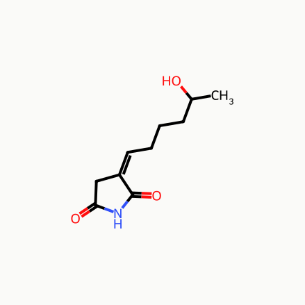 CC(O)CCCC=C1CC(=O)NC1=O